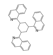 c1ccc2c(C3CC(c4nccc5ccccc45)CC(c4nccc5ccccc45)C3)nccc2c1